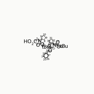 CC(C)(C)OC(=O)N(CC(=O)O)C1CCCC1.CC(C)(C)OC(=O)N(CC(=O)OCc1ccccc1)C1CCCC1